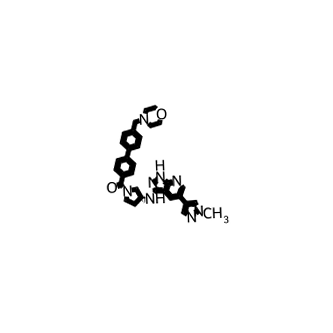 Cn1cc(-c2cnc3[nH]nc(N[C@@H]4CCN(C(=O)c5ccc(-c6ccc(CN7CCOCC7)cc6)cc5)C4)c3c2)cn1